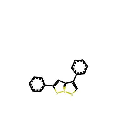 C1=C(c2ccccc2)SS2=C1C(c1ccccc1)=CS2